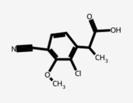 COc1c(C#N)ccc(C(C)C(=O)O)c1Cl